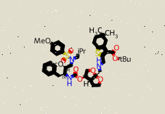 COc1ccc(S(=O)(=O)N(CC(C)C)C[C@@H](OC(C)=O)[C@H](Cc2ccccc2)NC(=O)O[C@H]2CO[C@@]3(CNCc4sc5c(c4C(=O)OC(C)(C)C)CC(C)(C)CC5)OCC[C@@H]23)cc1